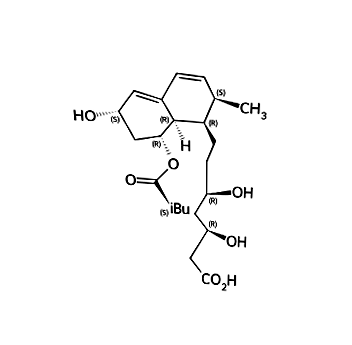 CC[C@H](C)C(=O)O[C@@H]1C[C@H](O)C=C2C=C[C@@H](C)[C@@H](CC[C@@H](O)C[C@@H](O)CC(=O)O)[C@H]21